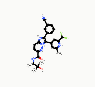 Cc1cc(-c2c(-c3cccc(C#N)c3)nc3ccc(C(=O)N[C@@H](C)C(C)(C)O)nn23)cc(C(F)F)n1